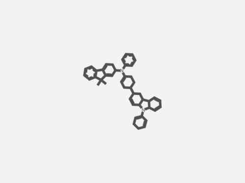 CC1(C)C2=CC(N(C3=CCC(C4C=CC5C(C4)C4C=CC=CC4N5C4=CCCC=C4)CC3)c3ccccc3)CC=C2c2ccccc21